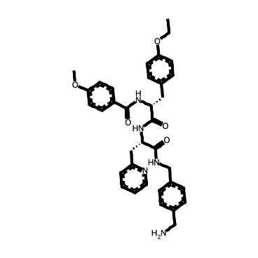 CCOc1ccc(C[C@@H](NC(=O)c2ccc(OC)cc2)C(=O)N[C@@H](Cc2ccccn2)C(=O)NCc2ccc(CN)cc2)cc1